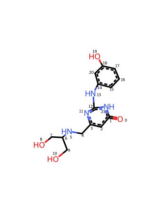 O=c1cc(CNC(CO)CO)nc(Nc2cccc(O)c2)[nH]1